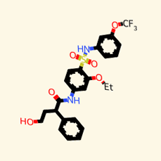 CCOc1cc(NC(=O)C(CCO)c2ccccc2)ccc1S(=O)(=O)Nc1cccc(OC(F)(F)F)c1